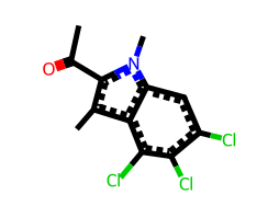 CC(=O)c1c(C)c2c(Cl)c(Cl)c(Cl)cc2n1C